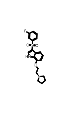 O=S(=O)(c1cccc(F)c1)c1c[nH]c2c(OCCN3CCCC3)cccc12